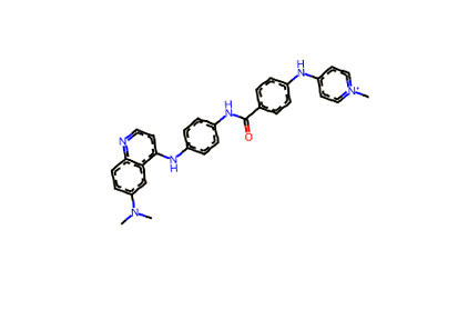 CN(C)c1ccc2nccc(Nc3ccc(NC(=O)c4ccc(Nc5cc[n+](C)cc5)cc4)cc3)c2c1